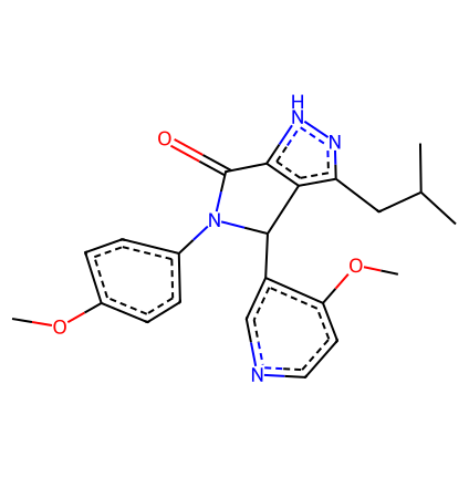 COc1ccc(N2C(=O)c3[nH]nc(CC(C)C)c3C2c2cnccc2OC)cc1